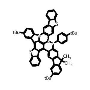 CC(C)(C)c1ccc(N2B3c4cc5sc6ccccc6c5cc4-n4c5ccc(C(C)(C)C)cc5c5c6sc7ccccc7c6c(c3c54)-c3cc4c(cc32)C(C)(C)c2ccc(C(C)(C)C)cc2-4)cc1